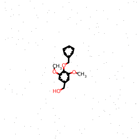 COc1cc(CO)cc(OC)c1OCc1ccccc1